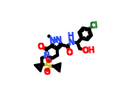 Cn1nc(C(=O)NC(CO)c2ccc(Cl)cc2)c2c1C(=O)N(CC1(S(=O)(=O)C3CC3)CC1)CC2